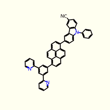 N#Cc1ccc2c(c1)c1cc(-c3ccc4ccc5c(-c6cc(-c7ccccn7)cc(-c7ccccn7)c6)ccc6ccc3c4c65)ccc1n2-c1ccccc1